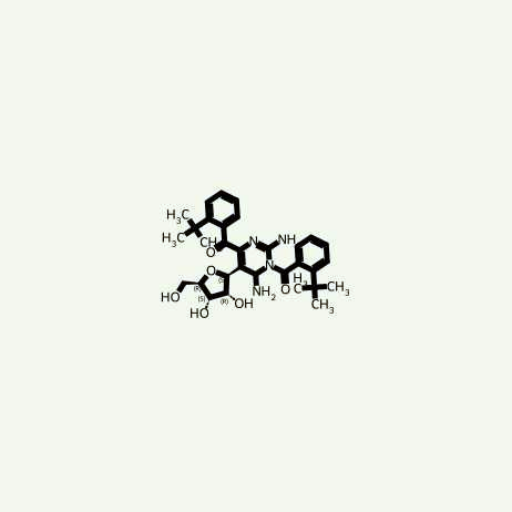 CC(C)(C)c1ccccc1C(=O)C1=C([C@@H]2O[C@H](CO)[C@@H](O)[C@H]2O)C(N)N(C(=O)c2ccccc2C(C)(C)C)C(N)=N1